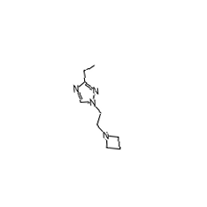 CCc1ncn(CCN2CCC2)n1